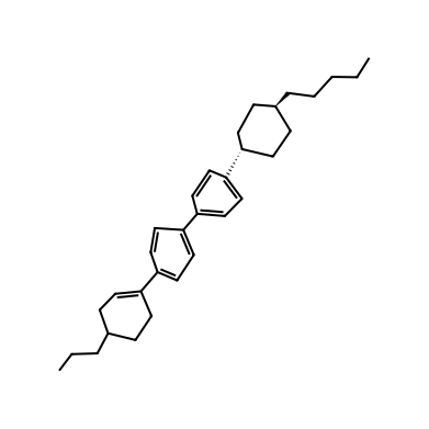 CCCCC[C@H]1CC[C@H](c2ccc(-c3ccc(C4=CCC(CCC)CC4)cc3)cc2)CC1